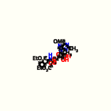 CCOC(=O)COP(=O)(N[C@@H](Cc1ccccc1)C(=O)OCC)OC[C@H]1O[C@@H](n2cnc3c(OC)nc(C)nc32)[C@@](C)(O)C1O